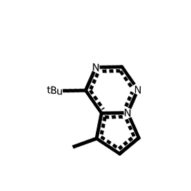 Cc1ccn2ncnc(C(C)(C)C)c12